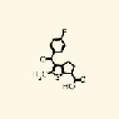 Cc1sc2c(c1C(=O)c1ccc(F)cc1)CCC2C(=O)O